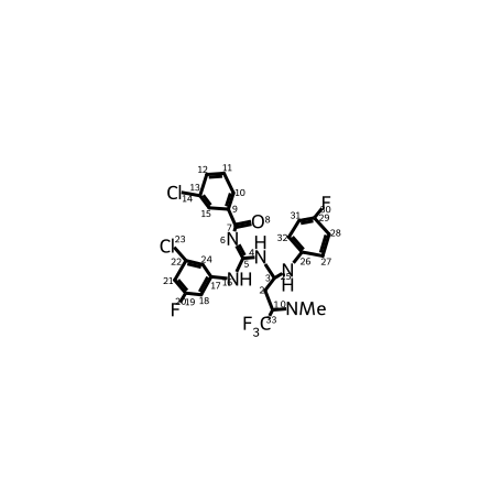 CNC(CC(N/C(=N\C(=O)c1cccc(Cl)c1)Nc1cc(F)cc(Cl)c1)Nc1ccc(F)cc1)C(F)(F)F